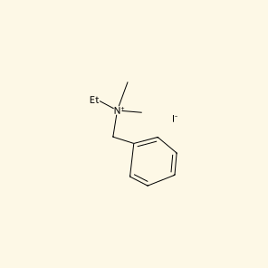 CC[N+](C)(C)Cc1ccccc1.[I-]